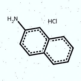 Cl.Nc1ccc2ccccc2c1